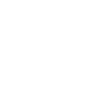 COc1cc(Nc2cncc3sccc23)cc(OC)c1